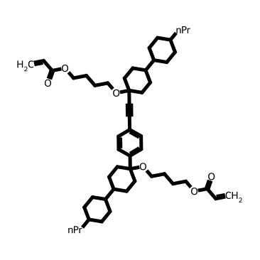 C=CC(=O)OCCCCOC1(C#Cc2ccc(C3(OCCCCOC(=O)C=C)CCC(C4CCC(CCC)CC4)CC3)cc2)CCC(C2CCC(CCC)CC2)CC1